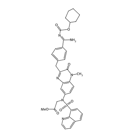 COC(=O)CN(c1ccc2c(c1)nc(Cc1ccc(C(N)=NC(=O)OC3CCCCC3)cc1)c(=O)n2C)S(=O)(=O)c1cccc2cccnc12